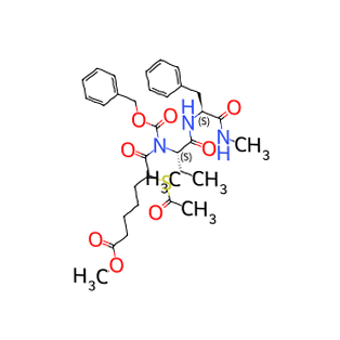 CNC(=O)[C@H](Cc1ccccc1)NC(=O)[C@H](C(C)C)N(C(=O)OCc1ccccc1)C(=O)C(CCCCC(=O)OC)SC(C)=O